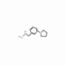 CNCc1cccc(N2CCCC2)c1